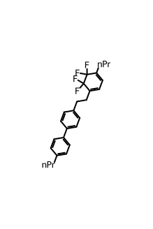 CCCC1=CC=C(CCc2ccc(-c3ccc(CCC)cc3)cc2)C(F)(F)C1(F)F